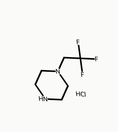 Cl.FC(F)(F)CN1CCNCC1